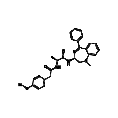 CCOc1ccc(CC(=O)N[C@@H](C)C(=O)N[C@@H]2CN(C)c3ccccc3C(c3ccccc3)=N2)cc1